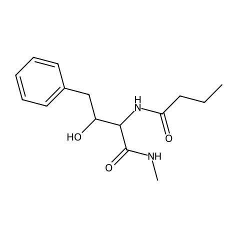 CCCC(=O)NC(C(=O)NC)C(O)Cc1ccccc1